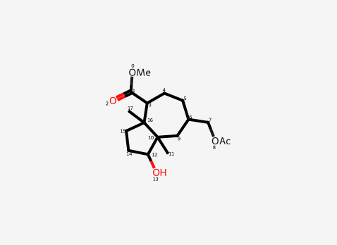 COC(=O)C1CCC(COC(C)=O)CC2(C)C(O)CCC12C